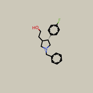 OCCC1CN(Cc2ccccc2)C[C@H]1c1ccc(F)cc1